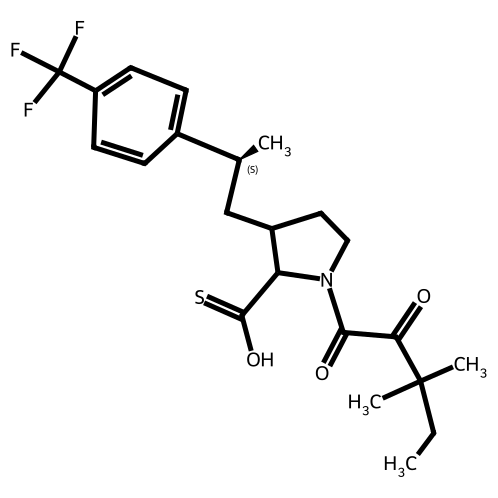 CCC(C)(C)C(=O)C(=O)N1CCC(C[C@H](C)c2ccc(C(F)(F)F)cc2)C1C(O)=S